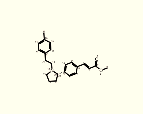 COC(=O)/C=C/c1ccc([C@@H]2CCCN2CCc2ccc(C)cc2)cc1